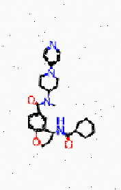 CN(C(=O)c1ccc2c(c1)C(NC(=O)C1CCCCC1)CCO2)C1CCN(c2ccncc2)CC1